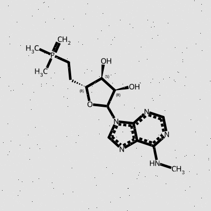 C=P(C)(C)CC[C@H]1OC(n2cnc3c(NC)ncnc32)[C@H](O)[C@@H]1O